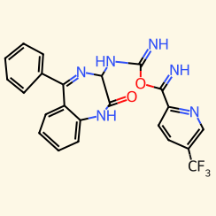 N=C(NC1N=C(c2ccccc2)c2ccccc2NC1=O)OC(=N)c1ccc(C(F)(F)F)cn1